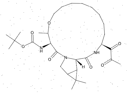 CC(=O)C(=O)[C@@H]1CCCCCCCCOC(C)[C@H](NC(=O)OC(C)(C)C)C(=O)N2CC3C([C@H]2C(=O)N1)C3(C)C